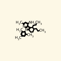 CCCC1CCc2c(c3c(N)cc(C)nc3n2-c2c(C)cc(C)cc2C)C1CCC